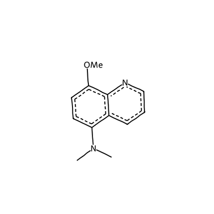 COc1ccc(N(C)C)c2cccnc12